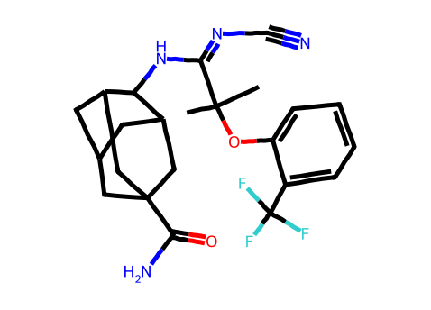 CC(C)(Oc1ccccc1C(F)(F)F)/C(=N\C#N)NC1C2CC3CC1CC(C(N)=O)(C3)C2